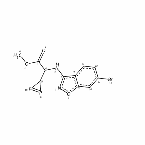 COC(=O)C(Nc1noc2cc(Br)ccc12)C1P=P1